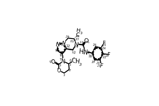 CC1CCOC(=O)N1c1cnn2c1CN(C(=O)Nc1cc(F)c(F)c(F)c1)[C@@H](C)C2